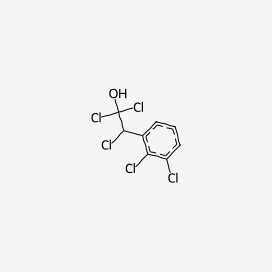 OC(Cl)(Cl)C(Cl)c1cccc(Cl)c1Cl